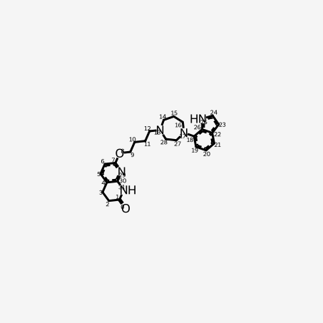 O=C1CCc2ccc(OCCCCN3CCCN(c4cccc5cc[nH]c45)CC3)nc2N1